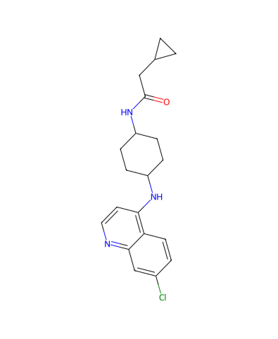 O=C(CC1CC1)NC1CCC(Nc2ccnc3cc(Cl)ccc23)CC1